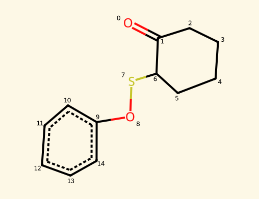 O=C1CCCCC1SOc1ccccc1